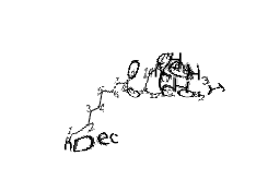 CCCCCCCCCCCCCCCCCC(=O)OC(CC(=O)O)C[N+](C)(C)C